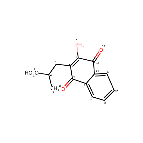 BC1=C(CC(C)C(=O)O)C(=O)c2ccccc2C1=O